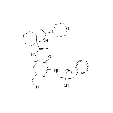 CCCC[C@H](NC(=O)C1(NC(=O)N2CCOCC2)CCCCC1)C(=O)C(=O)NCC(C)(C)Oc1ccccc1